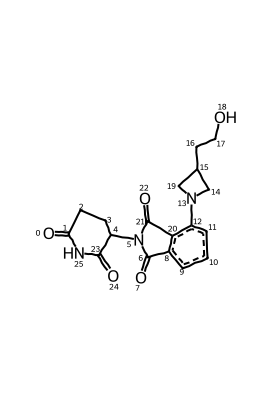 O=C1CCC(N2C(=O)c3cccc(N4CC(CCO)C4)c3C2=O)C(=O)N1